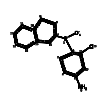 Nc1ccc([S+]([O-])c2ccc3ccccc3c2)c(Cl)c1